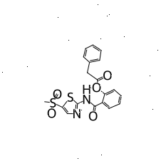 CS(=O)(=O)c1cnc(NC(=O)c2ccccc2OC(=O)Cc2ccccc2)s1